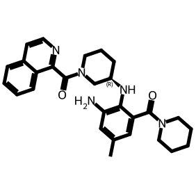 Cc1cc(N)c(N[C@@H]2CCCN(C(=O)c3nccc4ccccc34)C2)c(C(=O)N2CCCCC2)c1